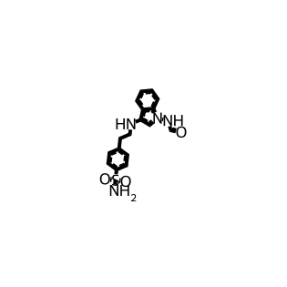 NS(=O)(=O)c1ccc(CCNc2cn(NC=O)c3ccccc23)cc1